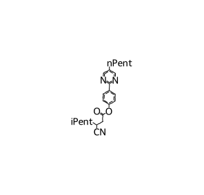 CCCCCc1cnc(-c2ccc(OC(=O)CC(C#N)C(C)CCC)cc2)nc1